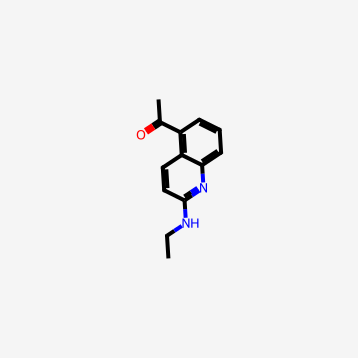 CCNc1ccc2c(C(C)=O)cccc2n1